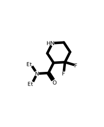 CCN(CC)C(=O)C1CNCCC1(F)F